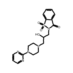 O=C1c2ccccc2S(=O)(=O)N1CC(O)CN1CCN(c2ncccn2)CC1